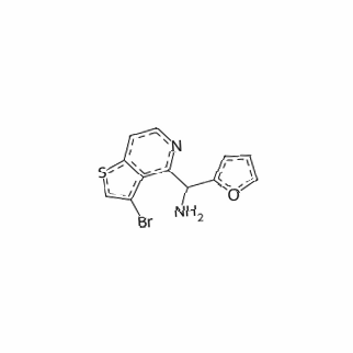 NC(c1ccco1)c1nccc2scc(Br)c12